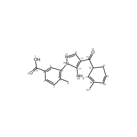 Cc1ccc(C(=O)O)cc1-n1ncc(C(=O)C2C=C(I)C=CC2)c1N